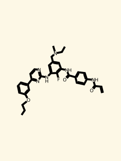 C=CC(=O)Nc1ccc(C(=O)Nc2cc(CN(C)CC)cc(Nc3nccc(-c4cccc(OCCC)c4)n3)c2F)cc1